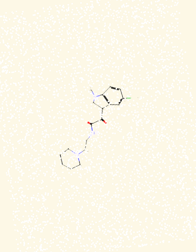 CC(C)N1CC(C(=O)C(=O)NCCN2CCCCC2)c2cc(Cl)ccc21